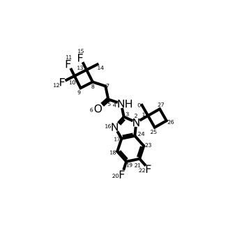 CC1(n2c(NC(=O)CC3CC(F)(F)C3(C)F)nc3cc(F)c(F)cc32)CCC1